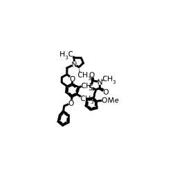 COc1ccccc1C1SC(=O)N(C)C1=O.Cc1c(OCc2ccccc2)cc2c(c1C)OC(CN1C(C)CC[C@@H]1C)CC2